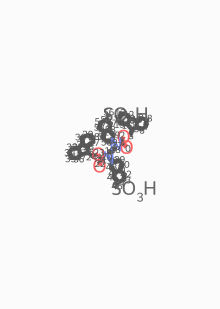 O=C(OCC1c2ccccc2-c2ccccc21)N(CCN(C(=O)OCC1c2ccccc2-c2ccccc21)c1ccc2ccc(S(=O)(=O)O)cc2c1)c1ccc2ccc(S(=O)(=O)O)cc2c1